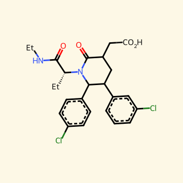 CCNC(=O)[C@@H](CC)N1C(=O)C(CC(=O)O)CC(c2cccc(Cl)c2)C1c1ccc(Cl)cc1